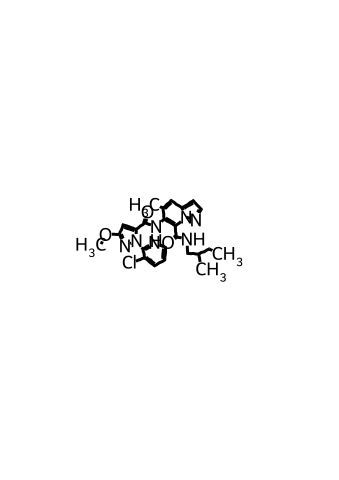 CCC(C)CNC(=O)c1c(NC(=O)c2cc(OC)nn2-c2ncccc2Cl)c(C)cc2ccnn12